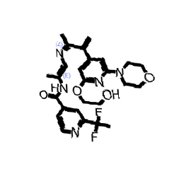 C=C(/C(C)=N\C=C(/C)NC(=O)c1ccnc(C(C)(F)F)c1)c1cc(OCCO)nc(N2CCOCC2)c1